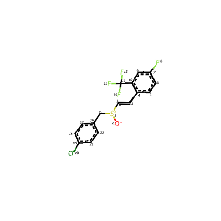 [O-][S+](/C=C/c1ccc(F)cc1C(F)(F)F)Cc1ccc(Cl)cc1